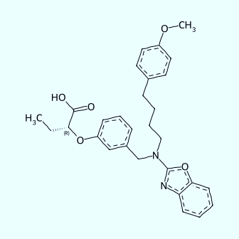 CC[C@@H](Oc1cccc(CN(CCCCc2ccc(OC)cc2)c2nc3ccccc3o2)c1)C(=O)O